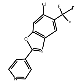 FC(F)(F)c1cc2nc(-c3ccncc3)oc2cc1Cl